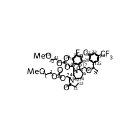 COCCOC(=O)OCN1C(=O)CC[C@]12CC[C@@](CO[C@H](C)c1cc(C(F)(F)F)cc(C(F)(F)F)c1)(c1ccccc1)N(COC(=O)OCCOC)C2